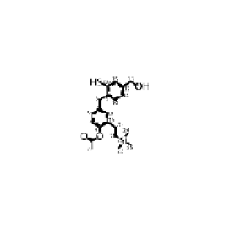 CC(=O)Oc1ccc(Cc2ccc(CO)cc2S)cc1CC[Si](C)(C)C